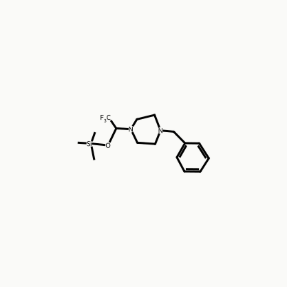 C[Si](C)(C)OC(N1CCN(Cc2ccccc2)CC1)C(F)(F)F